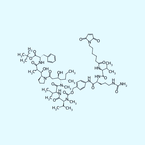 CC[C@H](C)[C@@H]([C@H](O)CC(=O)N1CCC[C@H]1[C@H](O)[C@@H](C)C(=O)N[C@@H](Cc1ccccc1)C(=O)OC(C)(C)C)N(C)C(=O)[C@@H](NC(=O)[C@H](C(C)C)N(C)C(=O)OCc1ccc(NC(=O)[C@H](CCCNC(N)=O)NC(=O)[C@@H](NC(=O)CCCCCN2C(=O)C=CC2=O)C(C)C)cc1)C(C)C